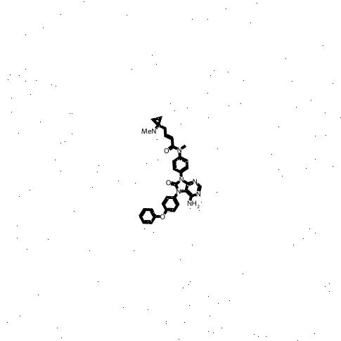 CNC1(C/C=C/C(=O)N(C)c2ccc(-n3c(=O)n(-c4ccc(Oc5ccccc5)cc4)c4c(N)ncnc43)cc2)CC1